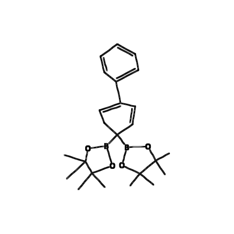 CC1(C)OB(C2(B3OC(C)(C)C(C)(C)O3)C=CC(c3ccccc3)=CC2)OC1(C)C